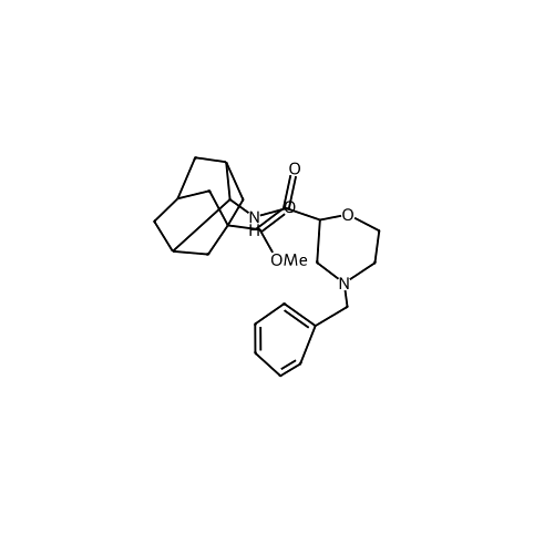 COC(=O)C12CC3CC(C1)C(NC(=O)C1CN(Cc4ccccc4)CCO1)C(C3)C2